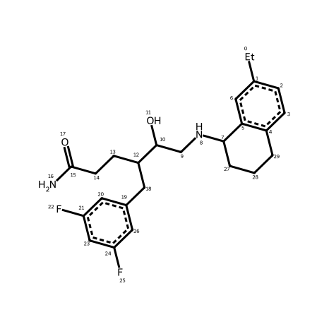 CCc1ccc2c(c1)C(NCC(O)C(CCC(N)=O)Cc1cc(F)cc(F)c1)CCC2